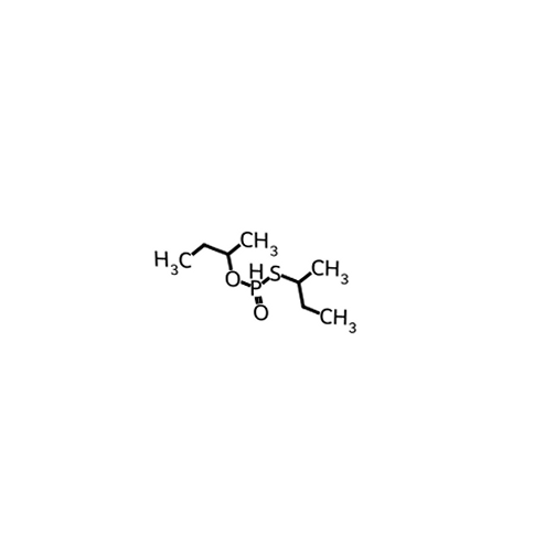 CCC(C)O[PH](=O)SC(C)CC